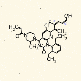 C=CC(=O)N1CCN(c2nc(=O)n(-c3c(CC)cccc3CC)c3nc(C(=C)/C(F)=C\C=C/O)c(Cl)cc23)C(C)C1